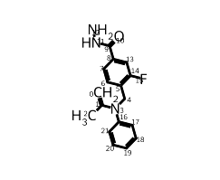 C=C(C)N(Cc1ccc(C(=O)NN)cc1F)c1ccccc1